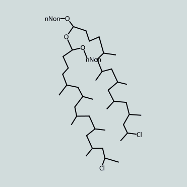 CCCCCCCCCOC(CCCC(C)CC(C)CC(C)CC(C)CC(C)CC(C)Cl)OC(CCCC(C)CC(C)CC(C)CC(C)CC(C)CC(C)Cl)OCCCCCCCCC